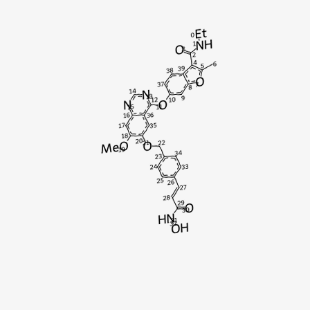 CCNC(=O)c1c(C)oc2cc(Oc3ncnc4cc(OC)c(OCc5ccc(C=CC(=O)NO)cc5)cc34)ccc12